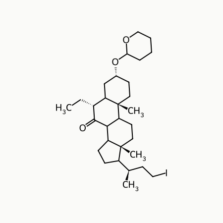 CC[C@H]1C(=O)C2C3CCC([C@H](C)CCI)[C@@]3(C)CCC2[C@@]2(C)CC[C@@H](OC3CCCCO3)CC12